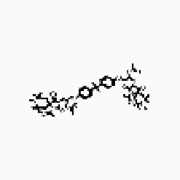 CC(=O)OC(COc1ccc(C(C)(C)c2ccc(OCC(CN3C(=O)N(C(C)=O)C4(CC(C)(C)N(C)C(C)(C)C4)C3=O)OC(C)=O)cc2)cc1)CN1C(=O)N(C(C)=O)C2(CC(C)(C)N(C)C(C)(C)C2)C1=O